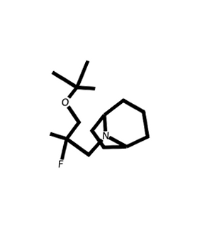 CC(F)(COC(C)(C)C)CN1C2CCCC1CC2